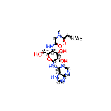 CNCC(=O)N(C)CC(=O)N[C@@H]1[C@@H](O)[C@H](O)[C@@H](Nc2ncnc3nc[nH]c23)O[C@H]1CO